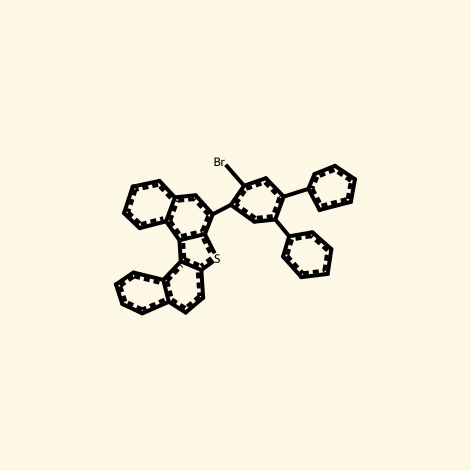 Brc1cc(-c2ccccc2)c(-c2ccccc2)cc1-c1cc2ccccc2c2c1sc1ccc3ccccc3c12